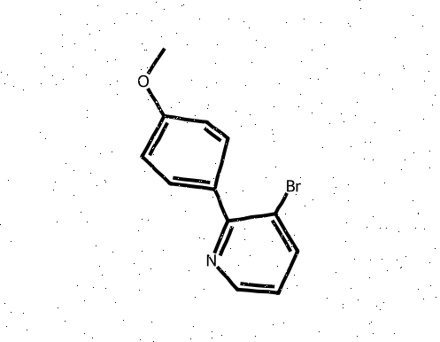 COc1ccc(-c2ncccc2Br)cc1